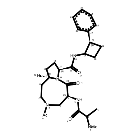 CNC(C)C(=O)N[C@H]1CN(C(C)=O)CC[C@H]2CC[C@@H](C(=O)NC3CC[C@@H]3c3ccccc3)N2C1=O